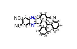 N#Cc1cc2nc3c(nc2cc1C#N)-c1c2cccc(C#N)c2c(-c2ccccc2)c2c(C#N)ccc-3c12